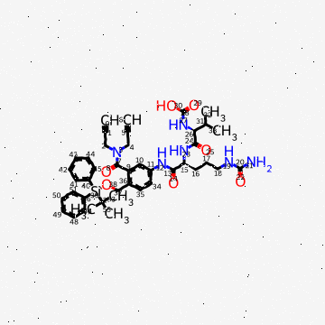 C#CCN(CC#C)C(=O)c1cc(NC(=O)[C@H](CCCNC(N)=O)NC(=O)[C@@H](NC(=O)O)C(C)C)ccc1CO[Si](c1ccccc1)(c1ccccc1)C(C)(C)C